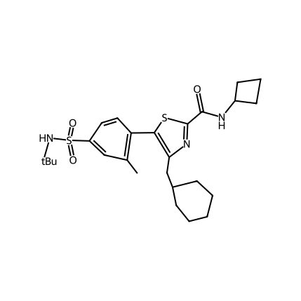 Cc1cc(S(=O)(=O)NC(C)(C)C)ccc1-c1sc(C(=O)NC2CCC2)nc1CC1CCCCC1